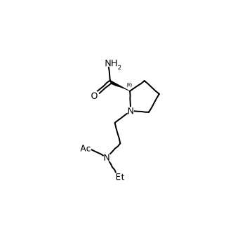 CCN(CCN1CCC[C@@H]1C(N)=O)C(C)=O